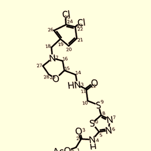 CC(=O)OCC(=O)Nc1nnc(SCC(=O)NCC2CN(Cc3ccc(Cl)c(Cl)c3)CCO2)s1